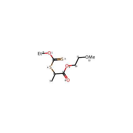 CCOC(=S)SC(C)C(=O)OCCOC